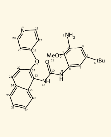 COc1c(N)cc(C(C)(C)C)cc1NC(=O)Nc1c(Oc2ccncc2)ccc2ccccc12